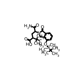 CC(C)(C)C(CC(C(N)=O)N1Cc2c(O[Si](C)(C)C(C)(C)C)cccc2C1=O)C(=O)O